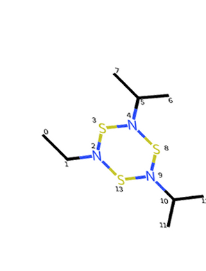 CCN1SN(C(C)C)SN(C(C)C)S1